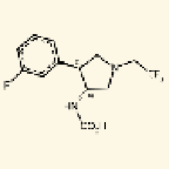 O=C(O)N[C@H]1CN(CC(F)(F)F)C[C@@H]1c1cccc(F)c1